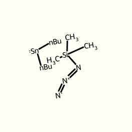 CCC[CH2][Sn][CH2]CCC.C[Si](C)(C)N=[N+]=[N-]